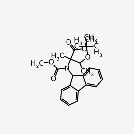 COC(=O)N(C1c2ccccc2-c2ccccc21)C(C)(C(=O)OC)C(C)OC(C)(C)C